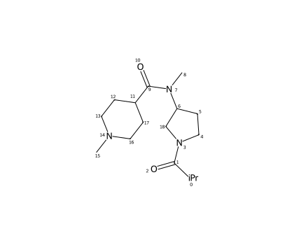 CC(C)C(=O)N1CCC(N(C)C(=O)C2CCN(C)CC2)C1